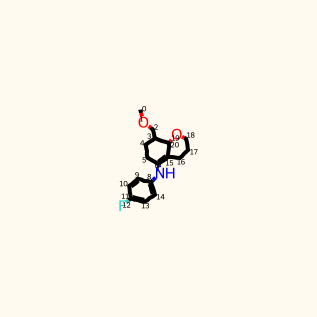 COCC1CCC(Nc2ccc(F)cc2)=C2CCCOC21